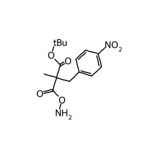 CC(C)(C)OC(=O)C(C)(Cc1ccc([N+](=O)[O-])cc1)C(=O)ON